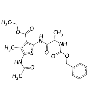 CCOC(=O)c1c(NC(=O)[C@H](C)NC(=O)OCc2ccccc2)sc(NC(C)=O)c1C